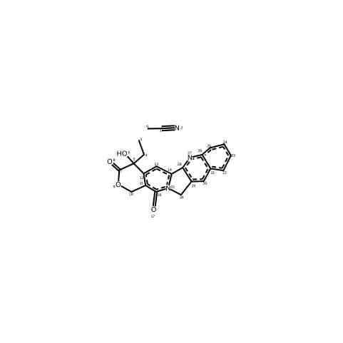 CC#N.CCC1(O)C(=O)OCc2c1cc1n(c2=O)Cc2cc3ccccc3nc2-1